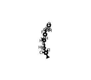 C[C@@H]1[C@@H]2C[C@@H](C[C@H]2OCc2cc(-c3c(Cl)cc(C4CC4)cc3Cl)n[nH]2)N1c1ccc(C(=O)NS(=O)(=O)C2CCOCC2)c(F)c1